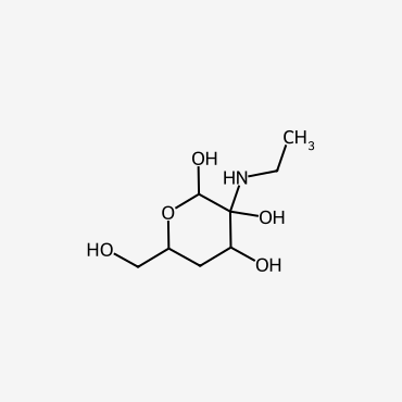 CCNC1(O)C(O)CC(CO)OC1O